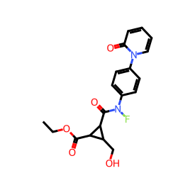 CCOC(=O)C1C(CO)C1C(=O)N(F)c1ccc(-n2ccccc2=O)cc1